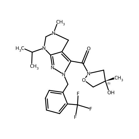 CC(C)N1CN(C)Cc2c1nn(Cc1ccccc1C(F)(F)F)c2C(=O)N1C[C@](C)(O)CO1